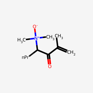 C=C(C)C(=O)C(CCC)[N+](C)(C)[O-]